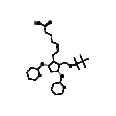 CC(C)(C)[Si](C)(C)OCC1C(C/C=C\CCCC(=O)O)[C@@H](OC2CCCCO2)C[C@H]1OC1CCCCO1